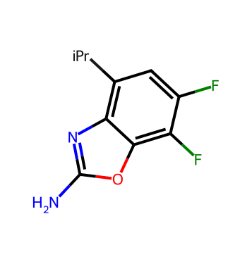 CC(C)c1cc(F)c(F)c2oc(N)nc12